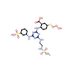 CS(=O)(=O)NCCNc1nc(Nc2cccc(S(=O)(=O)O)c2)nc(Nc2ccc(SOOO)cc2C(=O)O)n1